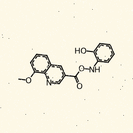 COc1cccc2cc(C(=O)ONc3ccccc3O)cnc12